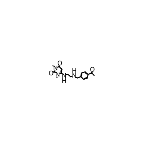 CC(=O)c1ccc(CNCCNc2cc(=O)n(C)c(=O)n2C)cc1